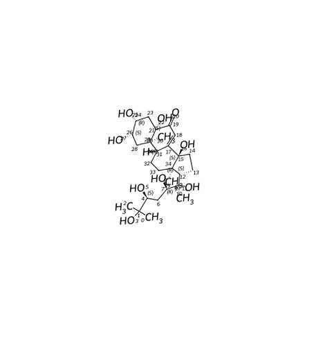 CC(C)(O)[C@@H](O)C[C@@H](O)[C@](C)(O)[C@H]1CC[C@@]2(O)C3=CC(=O)[C@]4(O)C[C@@H](O)[C@@H](O)C[C@]4(C)[C@H]3CC[C@]12C